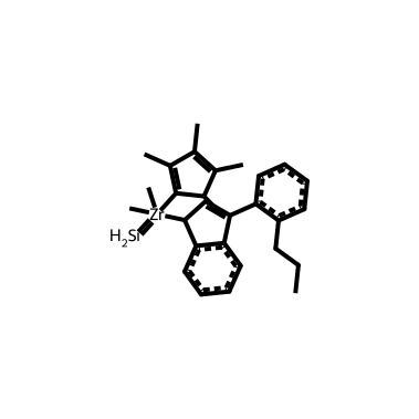 CCCc1ccccc1C1=C[CH]([Zr]([CH3])([CH3])(=[SiH2])[C]2=C(C)C(C)=C(C)C2C)c2ccccc21